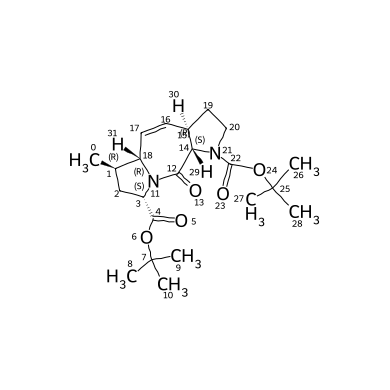 C[C@@H]1C[C@@H](C(=O)OC(C)(C)C)N2C(=O)[C@@H]3[C@@H](C=C[C@@H]12)CCN3C(=O)OC(C)(C)C